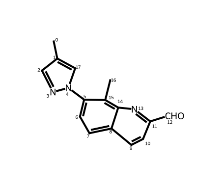 Cc1cnn(-c2ccc3ccc(C=O)nc3c2C)c1